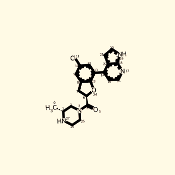 C[C@@H]1CN(C(=O)[C@H]2Cc3cc(Cl)cc(-c4ccnc5[nH]ccc45)c3O2)CCN1